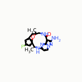 C[C@H]1Nc2ccn3nc(N)c(c3n2)C(=O)NCC2(C)Cc3cc(F)cc1c3O2